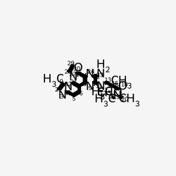 Cc1cnc2ccc(-c3nc(N(C=O)CC(C)(C)C(=O)N(C)C)c(N)nc3-c3ncco3)cn12